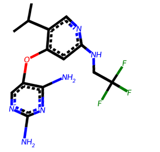 CC(C)c1cnc(NCC(F)(F)F)cc1Oc1cnc(N)nc1N